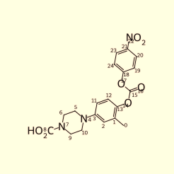 Cc1cc(N2CCN(C(=O)O)CC2)ccc1OC(=O)Oc1ccc([N+](=O)[O-])cc1